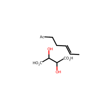 CC=CCCC(C)=O.O=C(O)C(O)C(O)C(=O)O